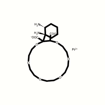 N[C@@H]1CCCC[C@]1(N)C1(C(=O)[O-])OCCOCCOCCOCCOCCOC1C(=O)[O-].[Pt+2]